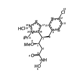 CO[C@H](CC(=O)NO)[C@H](Cc1ccc(Cl)cc1)c1ccnn1C(C)C.Cl